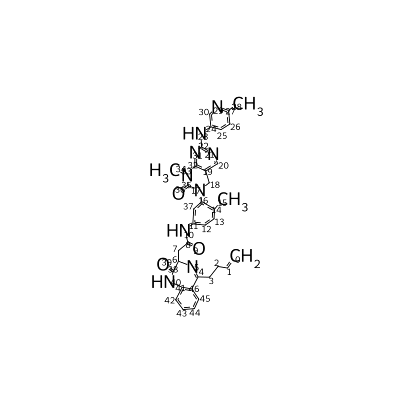 C=CCCC1=NC(CC(=O)Nc2ccc(C)c(N3Cc4cnc(Nc5ccc(C)nc5)nc4N(C)C3=O)c2)C(=O)Nc2ccccc21